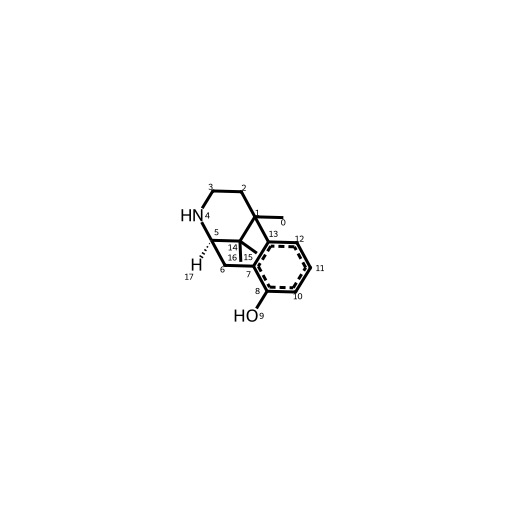 CC12CCN[C@H](Cc3c(O)cccc31)C2(C)C